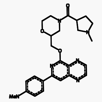 CNc1ccc(-c2cc3nccnc3c(OCC3CN(C(=O)C4CCN(C)C4)CCO3)n2)cc1